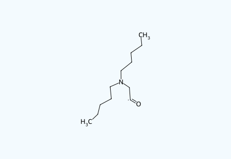 CCCCCN(C[C]=O)CCCCC